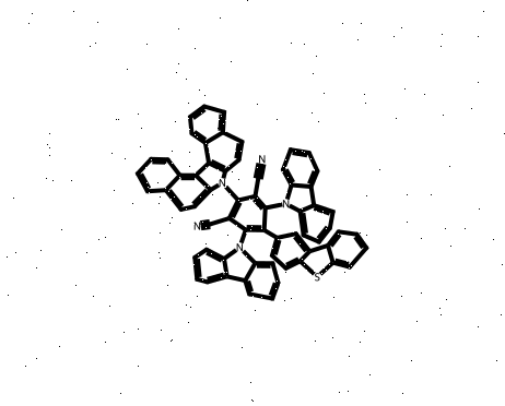 N#Cc1c(-n2c3ccccc3c3ccccc32)c(-c2ccc3sc4ccccc4c3c2)c(-n2c3ccccc3c3ccccc32)c(C#N)c1-n1c2ccc3ccccc3c2c2c3ccccc3ccc21